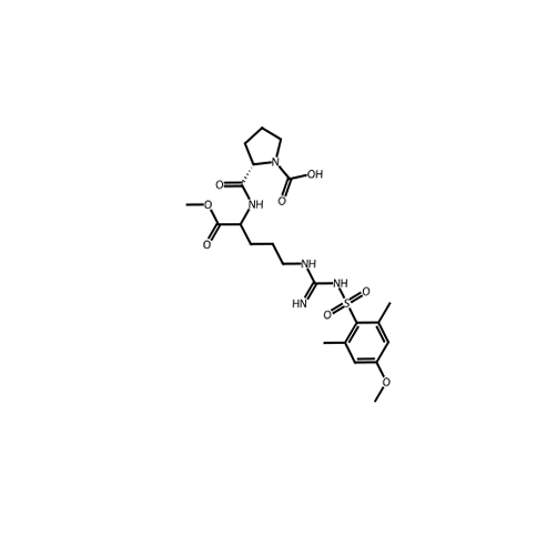 COC(=O)C(CCCNC(=N)NS(=O)(=O)c1c(C)cc(OC)cc1C)NC(=O)[C@@H]1CCCN1C(=O)O